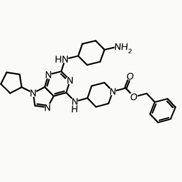 NC1CCC(Nc2nc(NC3CCN(C(=O)OCc4ccccc4)CC3)c3ncn(C4CCCC4)c3n2)CC1